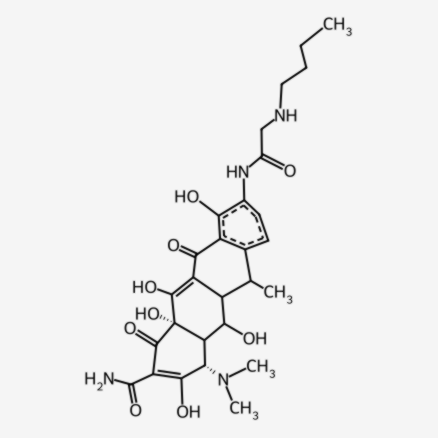 CCCCNCC(=O)Nc1ccc2c(c1O)C(=O)C1=C(O)[C@]3(O)C(=O)C(C(N)=O)=C(O)[C@@H](N(C)C)C3C(O)C1C2C